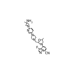 CC1CN(c2ccc(C#N)n3ncc(F)c23)CC(CN2CCN(c3ccc(N4CC(C)(N)C4)nc3)CC2)O1